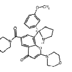 COc1cccc([C@]2(c3cc(C(=O)N4CCOCC4)cc4c(=O)cc(N5CCOCC5)oc34)CCCN2)c1